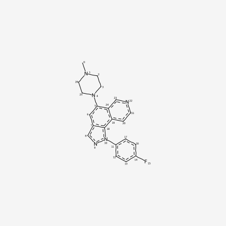 CN1CCN(c2cc3cnn(-c4ccc(F)cc4)c3c3ccncc23)CC1